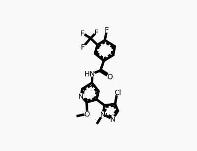 COc1ncc(NC(=O)c2ccc(F)c(C(F)(F)F)c2)cc1-c1c(Cl)cnn1C